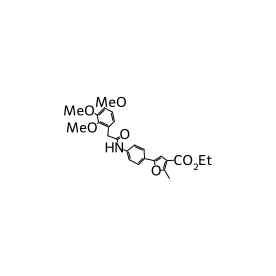 CCOC(=O)c1cc(-c2ccc(NC(=O)Cc3ccc(OC)c(OC)c3OC)cc2)oc1C